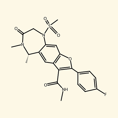 CNC(=O)c1c(-c2ccc(F)cc2)oc2cc3c(cc12)[C@H](C)N(C)C(=O)CN3S(C)(=O)=O